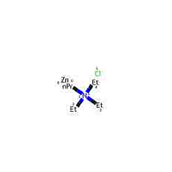 CCC[N+](CC)(CC)CC.[Cl-].[Zn]